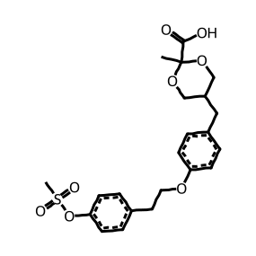 CC1(C(=O)O)OCC(Cc2ccc(OCCc3ccc(OS(C)(=O)=O)cc3)cc2)CO1